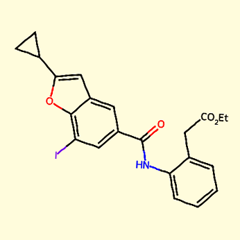 CCOC(=O)Cc1ccccc1NC(=O)c1cc(I)c2oc(C3CC3)cc2c1